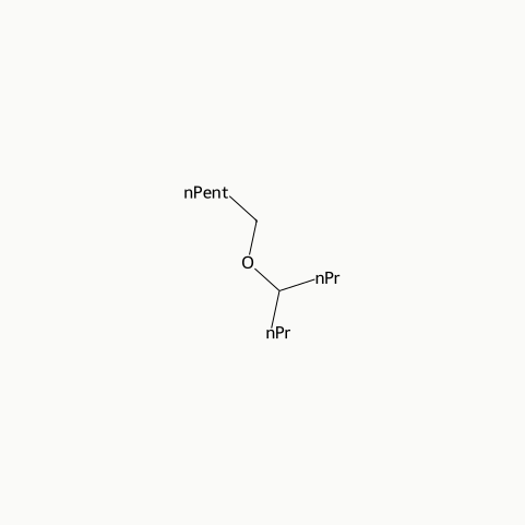 CCCCCCOC(CCC)CCC